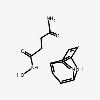 NC(=O)CCC(=O)NO.c1cc2nc3ccc2cc1N3